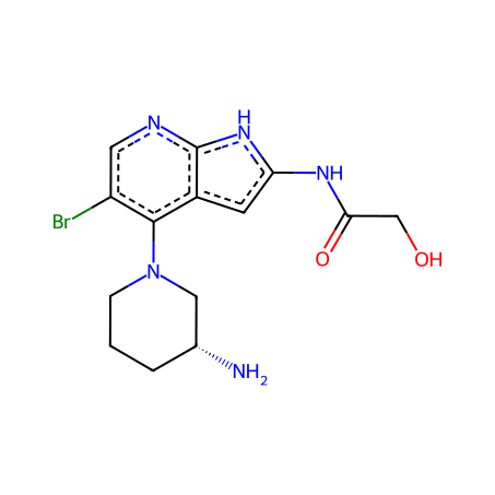 N[C@@H]1CCCN(c2c(Br)cnc3[nH]c(NC(=O)CO)cc23)C1